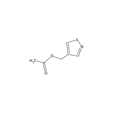 CC(=O)OCc1cnsc1